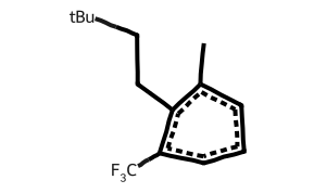 Cc1cccc(C(F)(F)F)c1CCC(C)(C)C